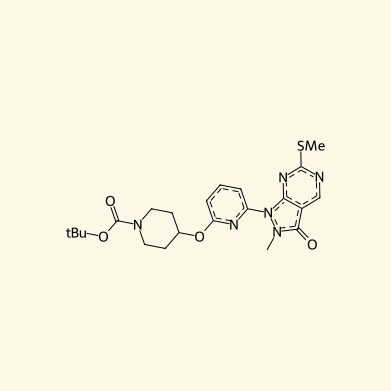 CSc1ncc2c(=O)n(C)n(-c3cccc(OC4CCN(C(=O)OC(C)(C)C)CC4)n3)c2n1